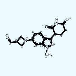 Cn1nc(C2CCC(=O)NC2=O)c2ccc(N3CC(C=O)C3)cc21